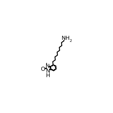 Cn1c(=O)[nH]c2cccc(CCCCCCCCCCN)c21